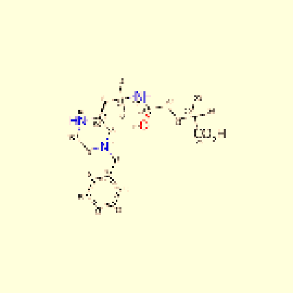 CC(C)(C[C@H]1CN(Cc2ccccc2)CCN1)NC(=O)CCC(C)(C)C(=O)O